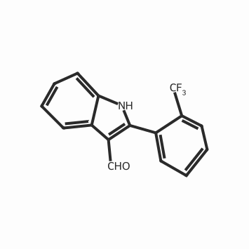 O=Cc1c(-c2ccccc2C(F)(F)F)[nH]c2ccccc12